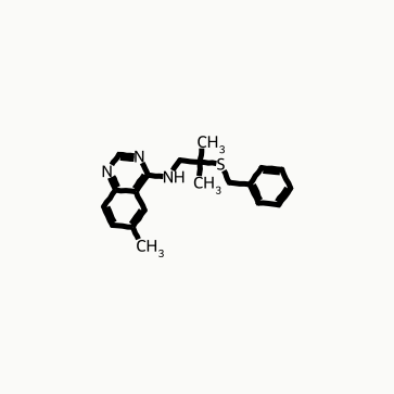 Cc1ccc2ncnc(NCC(C)(C)SCc3ccccc3)c2c1